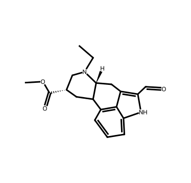 CCN1C[C@@H](C(=O)OC)CC2c3cccc4[nH]c(C=O)c(c34)C[C@H]21